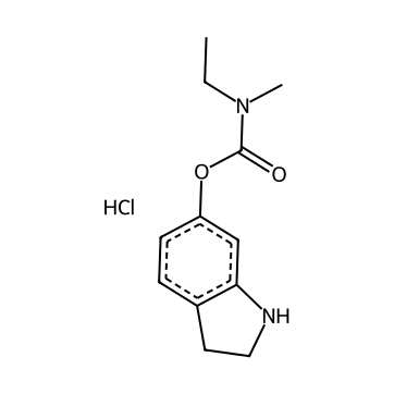 CCN(C)C(=O)Oc1ccc2c(c1)NCC2.Cl